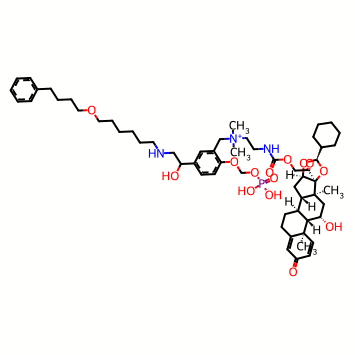 C[C@]12C=CC(=O)C=C1CC[C@@H]1[C@@H]2[C@@H](O)C[C@@]2(C)[C@H]1C[C@H]1O[C@@H](C3CCCCC3)O[C@]12C(=O)COC(=O)NCC[N+](C)(C)Cc1cc(C(O)CNCCCCCCOCCCCc2ccccc2)ccc1OCOP(=O)(O)O